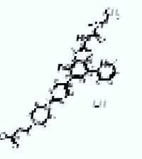 CCNC(=O)Nc1nc2c(F)c(-c3cnc(N4CCN(CCC(=O)O)CC4)nc3)cc(-c3ccccn3)c2s1.[LiH]